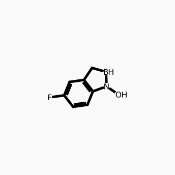 ON1BCc2cc(F)ccc21